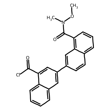 CON(C)C(=O)c1cccc2ccc(-c3cc(C(=O)Cl)c4ccccc4c3)cc12